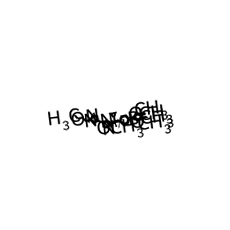 COCCn1cc(-c2nc([C@@](C)(c3ccc(B4OC(C)(C)C(C)(C)O4)cc3)C3CC3)no2)cn1